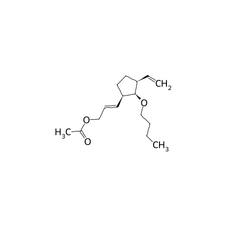 C=C[C@@H]1CC[C@H](/C=C/COC(C)=O)[C@@H]1OCCCC